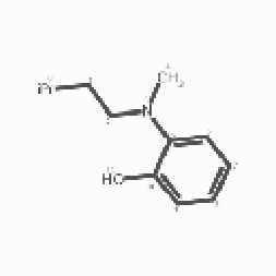 CC(C)CCN(C)c1ccccc1O